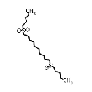 CCCCC[S+]([O-])CCCCCCCCCCS(=O)(=O)CCCCC